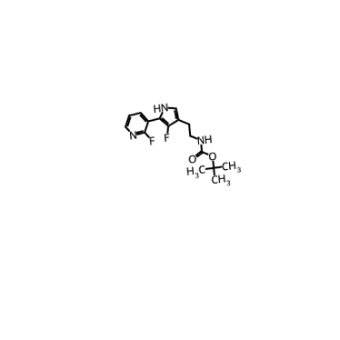 CC(C)(C)OC(=O)NCCc1c[nH]c(-c2cccnc2F)c1F